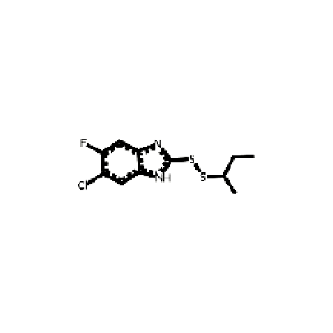 CCC(C)SSc1nc2cc(F)c(Cl)cc2[nH]1